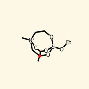 CCO[Si]12OCC[N+](C)(CC(C)O1)CC(C)O2